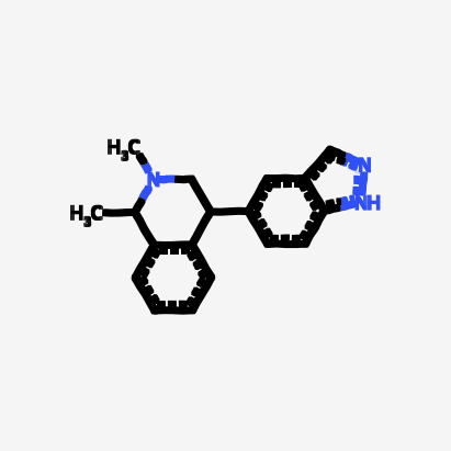 CC1c2ccccc2C(c2ccc3[nH]ncc3c2)CN1C